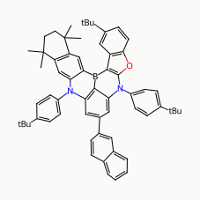 CC(C)(C)c1ccc(N2c3cc4c(cc3B3c5c2cc(-c2ccc6ccccc6c2)cc5N(c2ccc(C(C)(C)C)cc2)c2oc5ccc(C(C)(C)C)cc5c23)C(C)(C)CCC4(C)C)cc1